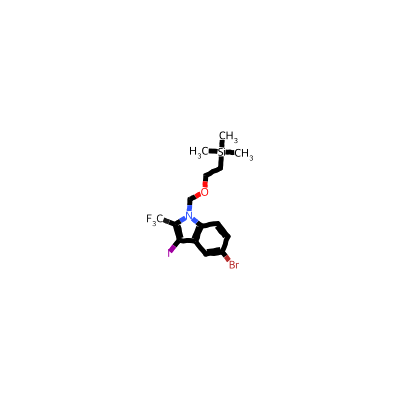 C[Si](C)(C)CCOCn1c(C(F)(F)F)c(I)c2cc(Br)ccc21